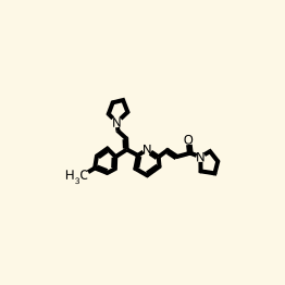 Cc1ccc(/C(=C\CN2CCCC2)c2cccc(/C=C/C(=O)N3CCCC3)n2)cc1